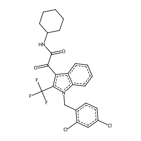 O=C(NC1CCCCC1)C(=O)c1c(C(F)(F)F)n(Cc2ccc(Cl)cc2Cl)c2ccccc12